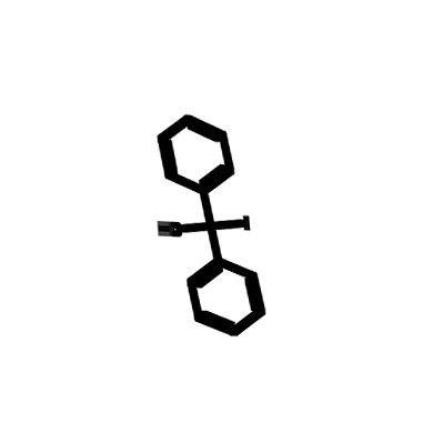 OC(I)(c1ccccc1)c1ccccc1